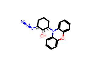 [N-]=[N+]=N[C@H]1CCC[C@@H](N2c3ccccc3Oc3ccccc32)[C@@H]1O